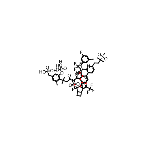 Cc1cc(CP(=O)(O)O)cc(OP(=O)(O)O)c1C(C)(C)CC(=O)N(c1nn(CC(F)(F)F)c2c(-c3ccc(CCC(C)(C)S(C)(=O)=O)nc3[C@H](Cc3cc(F)cc(F)c3)NC(=O)Cn3nc(C(F)(F)F)c4c3C(F)(F)C3CCC43)ccc(Cl)c12)S(C)(=O)=O